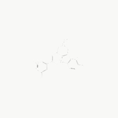 Cc1ccc2c(c1)c1c3n2CC(c2cc(C)nc(C)c2)=CC3CN(C)C1